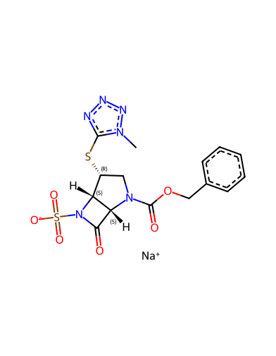 Cn1nnnc1S[C@@H]1CN(C(=O)OCc2ccccc2)[C@@H]2C(=O)N(S(=O)(=O)[O-])[C@@H]21.[Na+]